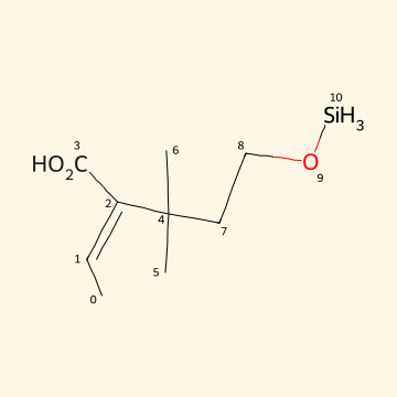 CC=C(C(=O)O)C(C)(C)CCO[SiH3]